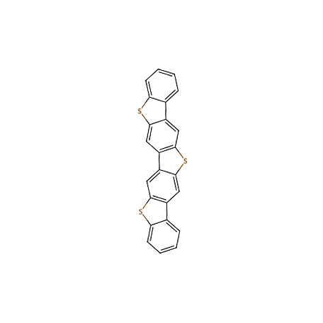 c1ccc2c(c1)sc1cc3c(cc12)sc1cc2c(cc13)sc1ccccc12